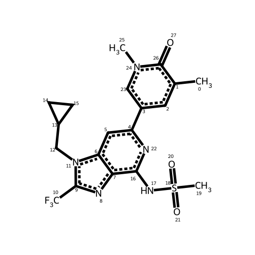 Cc1cc(-c2cc3c(nc(C(F)(F)F)n3CC3CC3)c(NS(C)(=O)=O)n2)cn(C)c1=O